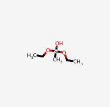 CCO[Si](C)(O)OCC